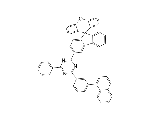 c1ccc(-c2nc(-c3cccc(-c4cccc5ccccc45)c3)nc(-c3ccc4c(c3)-c3ccccc3C43c4ccccc4Oc4ccccc43)n2)cc1